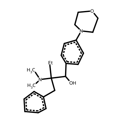 CCC(Cc1ccccc1)(C(O)c1ccc(N2CCOCC2)cc1)N(C)C